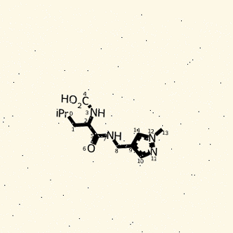 CC(C)CC(NC(=O)O)C(=O)NCc1cnn(C)c1